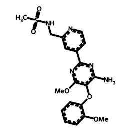 COc1ccccc1Oc1c(N)nc(-c2ccnc(CNS(C)(=O)=O)c2)nc1OC